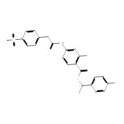 CCS(=O)(=O)c1ccc(CC(=O)Nc2ccc(C(=O)NC(C)c3ccc(Cl)cc3)c(F)c2)cc1